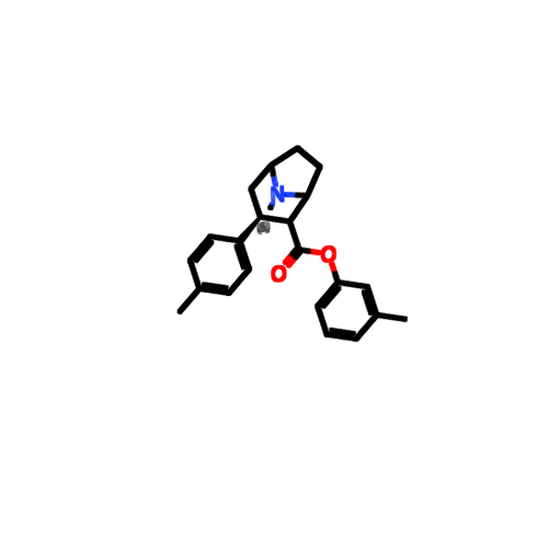 Cc1ccc([C@H]2CC3CCC(C2C(=O)Oc2cccc(C)c2)N3C)cc1